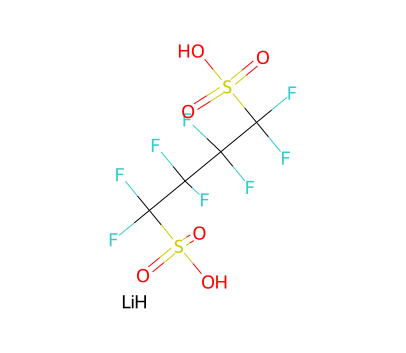 O=S(=O)(O)C(F)(F)C(F)(F)C(F)(F)C(F)(F)S(=O)(=O)O.[LiH]